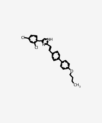 CCCCOc1ccc(-c2ccc(/C=C/c3nc(-c4ccc(Cl)cc4Cl)c[nH]3)cc2)cc1